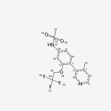 Cc1ccncc1-c1ccc(NS(C)(=O)=O)cc1OCC(F)(F)F